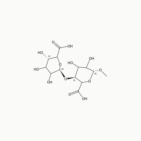 CO[C@@H]1OC(C(=O)O)[C@@H](O[C@@H]2OC(C(=O)O)[C@@H](O)C(O)C2O)C(O)C1O